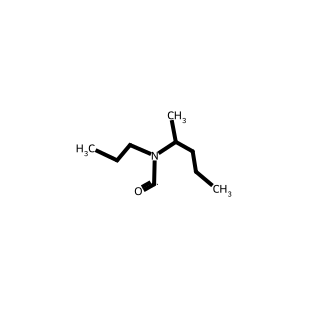 CCCC(C)N([C]=O)CCC